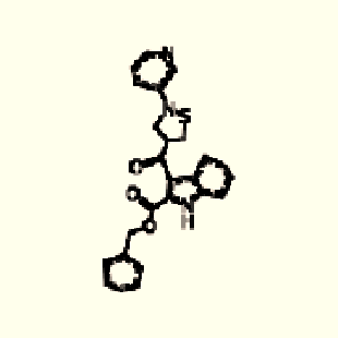 O=C(OCc1ccccc1)c1[nH]c2ccccc2c1C(=O)C1CSN(c2cccnc2)C1